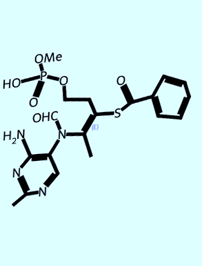 COP(=O)(O)OCC/C(SC(=O)c1ccccc1)=C(/C)N(C=O)c1cnc(C)nc1N